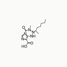 CCCCCC(C)N1Nc2c(C(=O)O)ncn2C(=O)N1C